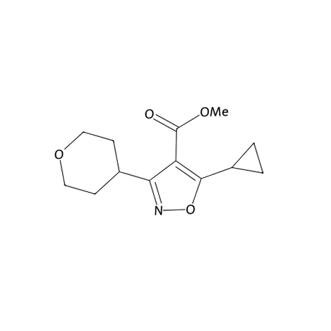 COC(=O)c1c(C2CCOCC2)noc1C1CC1